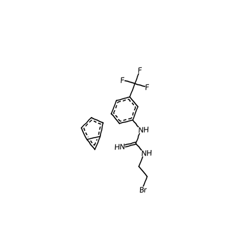 N=C(NCCBr)Nc1cccc(C(F)(F)F)c1.c1cc2cc-2c1